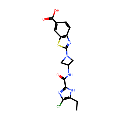 CCc1[nH]c(C(=O)NC2CN(c3nc4ccc(C(=O)O)cc4s3)C2)nc1Cl